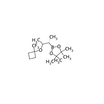 CC(OC1(C(F)(F)F)CCC1)[C@H](C)B1OC(C)(C)C(C)(C)O1